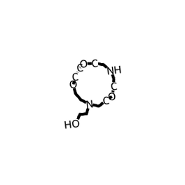 OCCN1CCOCCNCCOCCOCC1